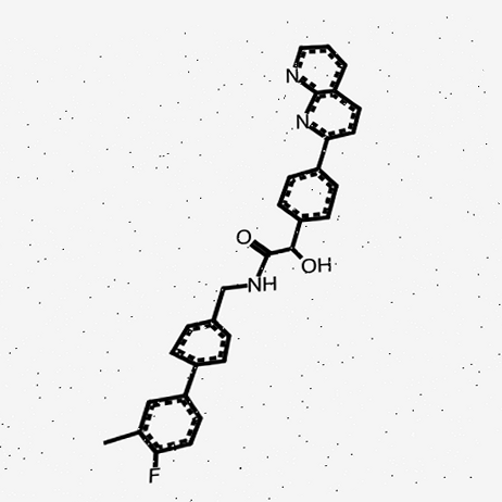 Cc1cc(-c2ccc(CNC(=O)C(O)c3ccc(-c4ccc5cccnc5n4)cc3)cc2)ccc1F